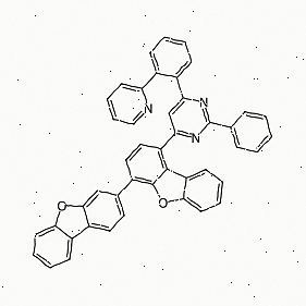 c1ccc(-c2nc(-c3ccccc3-c3ccccn3)cc(-c3ccc(-c4ccc5c(c4)oc4ccccc45)c4oc5ccccc5c34)n2)cc1